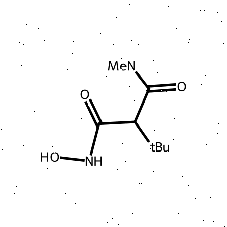 CNC(=O)C(C(=O)NO)C(C)(C)C